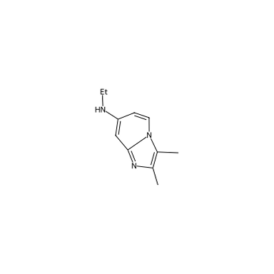 CCNc1ccn2c(C)c(C)nc2c1